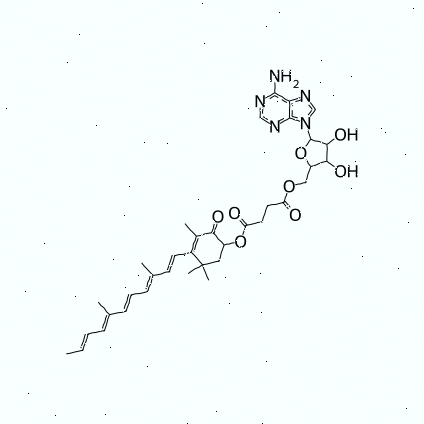 C/C=C/C=C(C)/C=C/C=C(C)/C=C/C1=C(C)C(=O)C(OC(=O)CCC(=O)OCC2OC(n3cnc4c(N)ncnc43)C(O)C2O)CC1(C)C